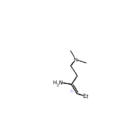 CC/C=C(/N)CCN(C)C